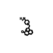 NC1CCN(CC2Cn3c(=O)ccc4cccc2c43)CC1